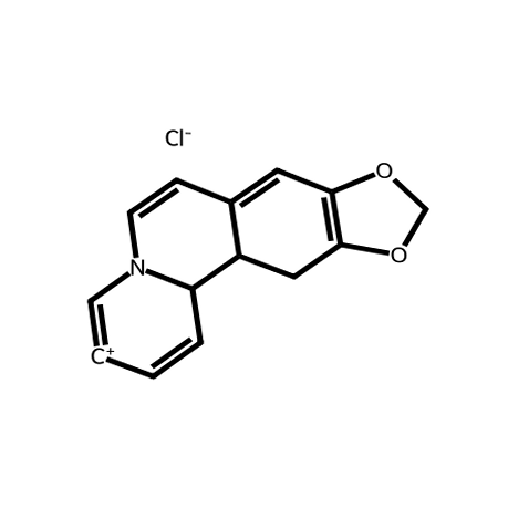 [C+]1=CN2C=CC3=CC4=C(CC3C2C=C1)OCO4.[Cl-]